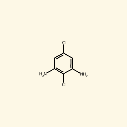 Nc1cc(Cl)cc(N)c1Cl